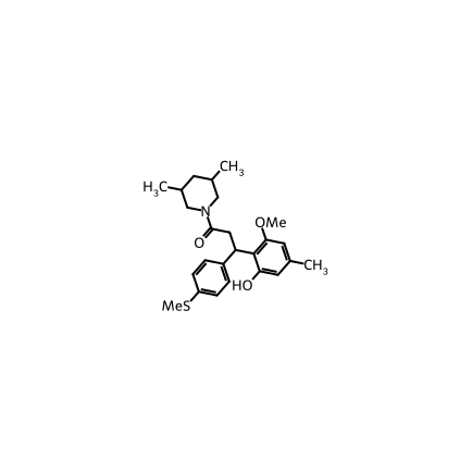 COc1cc(C)cc(O)c1C(CC(=O)N1CC(C)CC(C)C1)c1ccc(SC)cc1